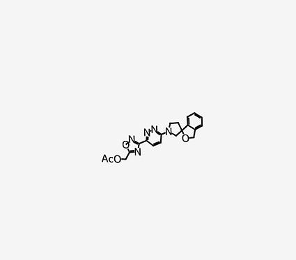 CC(=O)OCc1nc(-c2ccc(N3CCC4(C3)OCc3ccccc34)nn2)no1